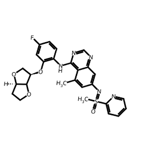 Cc1cc(N=S(C)(=O)c2ccccn2)cc2ncnc(Nc3ccc(F)cc3O[C@@H]3CO[C@@H]4CCOC43)c12